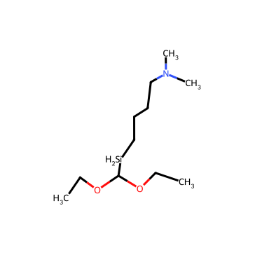 CCOC(OCC)[SiH2]CCCCN(C)C